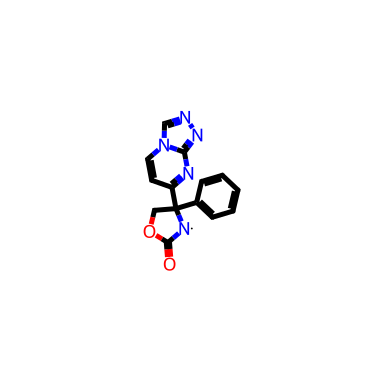 O=C1[N]C(c2ccccc2)(c2ccn3cnnc3n2)CO1